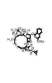 COc1cc2ccccc2c(O[C@@H]2C[C@H]3C(=O)N[C@]4(C(=O)NS(=O)(=O)C5CC5)C[C@H]4/C=C\CC[C@H](C)C[C@@H](C)[C@H](N(C(=O)O)C(C)(C)C(F)(F)F)C(=O)N3C2)n1